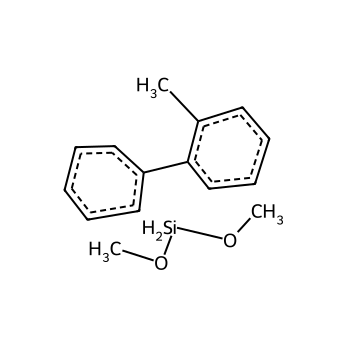 CO[SiH2]OC.Cc1ccccc1-c1ccccc1